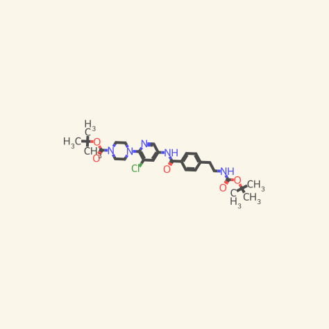 CC(C)(C)OC(=O)NCCc1ccc(C(=O)Nc2cnc(N3CCN(C(=O)OC(C)(C)C)CC3)c(Cl)c2)cc1